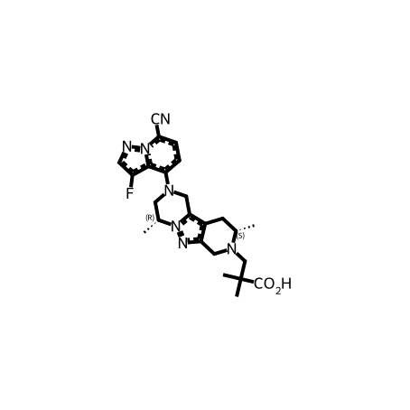 C[C@@H]1CN(c2ccc(C#N)n3ncc(F)c23)Cc2c3c(nn21)CN(CC(C)(C)C(=O)O)[C@@H](C)C3